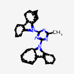 Cc1nc(-n2c3ccccc3c3ccccc32)nc(-n2c3ccccc3c3ccccc32)n1